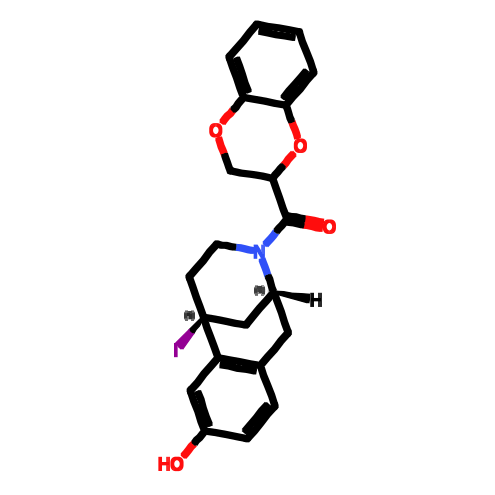 O=C(C1COc2ccccc2O1)N1CC[C@]2(I)C[C@H]1Cc1ccc(O)cc12